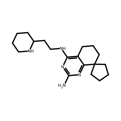 Nc1nc(NCCC2CCCCN2)c2c(n1)C1(CCCC1)CCC2